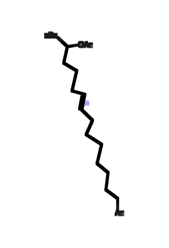 CCCCC(CCC/C=C/CCCCCCCC(C)=O)OC(C)=O